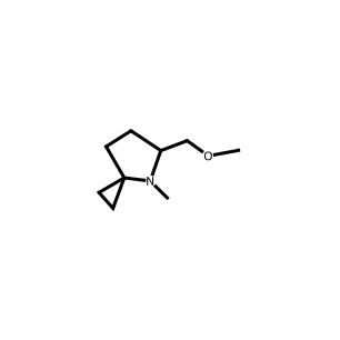 COCC1CCC2(CC2)N1C